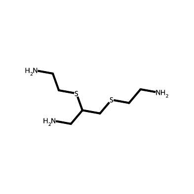 NCCSCC(CN)SCCN